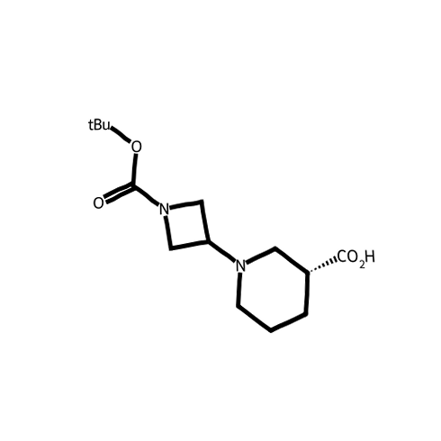 CC(C)(C)OC(=O)N1CC(N2CCC[C@@H](C(=O)O)C2)C1